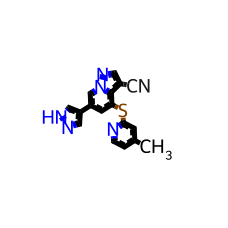 Cc1ccnc(Sc2cc(-c3cn[nH]c3)cn3ncc(C#N)c23)c1